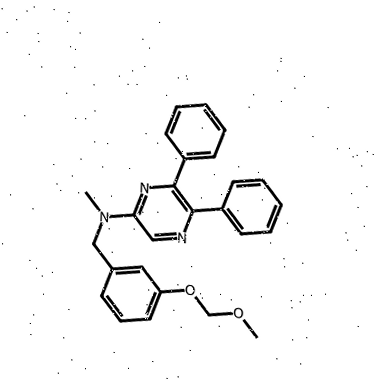 COCOc1cccc(CN(C)c2cnc(-c3ccccc3)c(-c3ccccc3)n2)c1